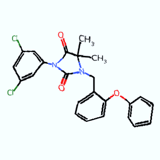 CC1(C)C(=O)N(c2cc(Cl)cc(Cl)c2)C(=O)N1Cc1ccccc1Oc1ccccc1